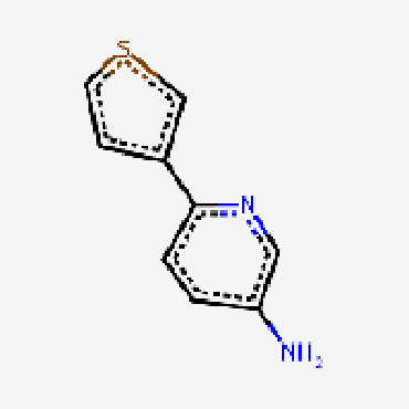 Nc1ccc(-c2ccsc2)nc1